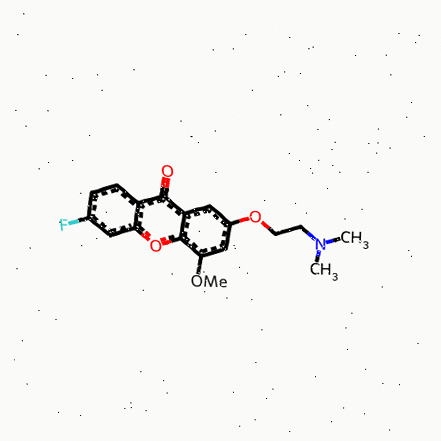 COc1cc(OCCN(C)C)cc2c(=O)c3ccc(F)cc3oc12